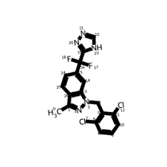 Cc1nn(Cc2c(Cl)cccc2Cl)c2cc(C(F)(F)c3nnc[nH]3)ccc12